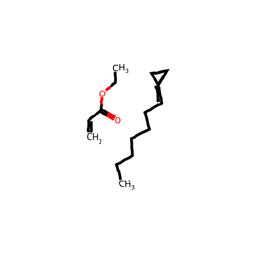 C=CC(=O)OCC.CCCCCCC=C1CC1